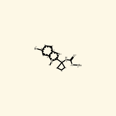 Cn1c(C2(NC(=O)OC(C)(C)C)CCC2)nc2ccc(Br)cc21